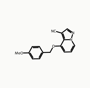 COc1ccc(COc2cccn3ncc(C#N)c23)cc1